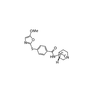 COc1cnc(Sc2ccc(C(=O)N[C@H]3CN4CCC3CC4)cc2)o1